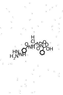 Cl.N=C(N)Nc1ccc(C(=O)NCCCN2CC(=O)N(C(C(=O)O)c3ccccc3)C2=O)cc1